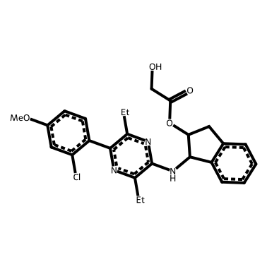 CCc1nc(-c2ccc(OC)cc2Cl)c(CC)nc1NC1c2ccccc2CC1OC(=O)CO